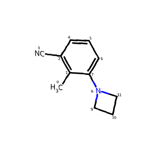 Cc1c(C#N)cccc1N1CCC1